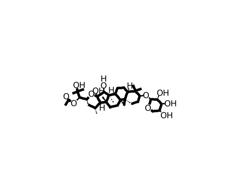 CC(=O)O[C@H]([C@H]1C[C@@H](C)[C@H]2[C@@](O)(O1)[C@H](O)[C@@]1(C)[C@@H]3CC[C@H]4C(C)(C)[C@@H](O[C@@H]5OC[C@@H](O)[C@H](O)[C@H]5O)CC[C@@]45C[C@@]35CC[C@]21C)C(C)(C)O